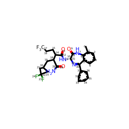 Cc1cccc2c1NC(=O)[C@@H](NC(=O)C(CCC(F)(F)F)C(CC1CC(F)(F)C1)C(N)=O)N=C2c1ccccc1